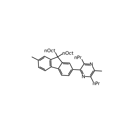 CCCCCCCCC1(CCCCCCCC)c2cc(C)ccc2-c2ccc(-c3nc(CCC)c(C)nc3CCC)cc21